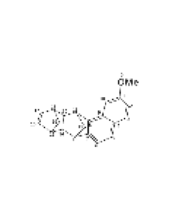 COc1ccc2ccc3c(c2c1)C1CC3C2C3C=CC(C3)C12